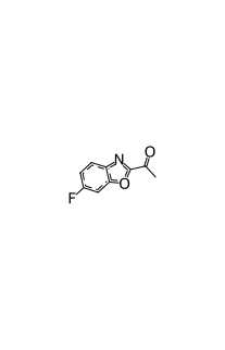 CC(=O)c1nc2ccc(F)cc2o1